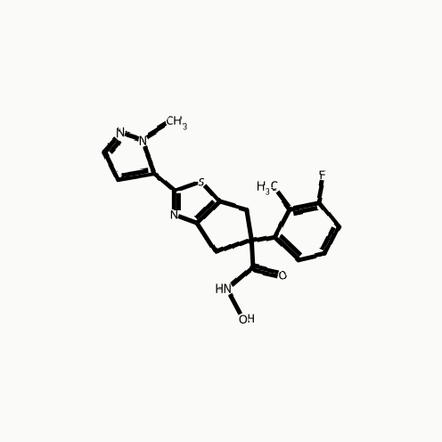 Cc1c(F)cccc1C1(C(=O)NO)Cc2nc(-c3ccnn3C)sc2C1